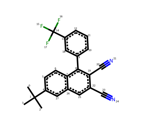 CC(C)(C)c1ccc2c(-c3cccc(C(F)(F)F)c3)c(C#N)c(C#N)cc2c1